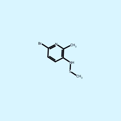 CSNc1ccc(Br)nc1C